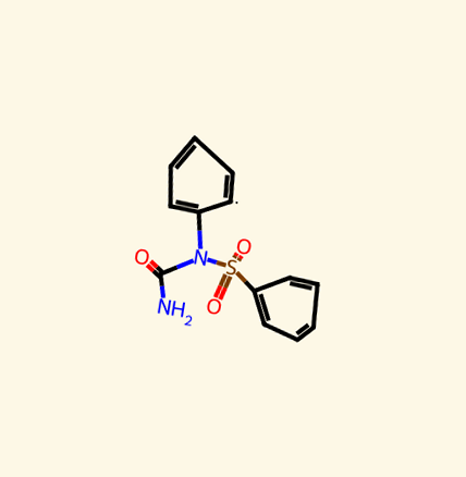 NC(=O)N(c1[c]cccc1)S(=O)(=O)c1ccccc1